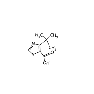 CC(C)(C)c1ncsc1C(=O)O